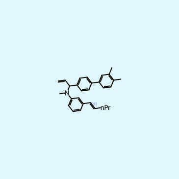 C=CC(c1ccc(-c2ccc(C)c(C)c2)cc1)N(C)c1cccc(/C=C/CCC)c1